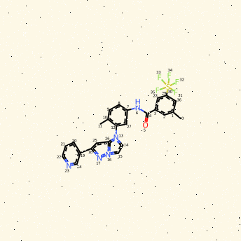 Cc1cc(C(=O)Nc2ccc(C)c(-n3ccn4nc(-c5cccnc5)cc34)c2)cc(S(F)(F)(F)(F)F)c1